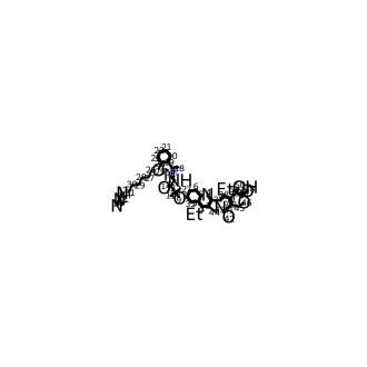 CCc1c2c(nc3ccc(OC(C)(C)C(=O)N/N=C(\C)c4ccccc4OCCCCCCN=[N+]=[N-])cc13)-c1cc3c(c(=O)n1C2)COC(=O)[C@]3(O)CC